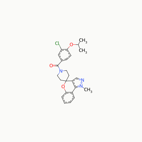 CC(C)Oc1ccc(C(=O)N2CCC3(CC2)Oc2ccccc2-c2c3cnn2C)cc1Cl